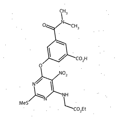 CCOC(=O)CNc1nc(SC)nc(Oc2cc(C(=O)O)cc(C(=O)N(C)C)c2)c1[N+](=O)[O-]